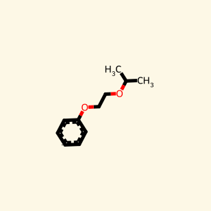 CC(C)OCCOc1cc[c]cc1